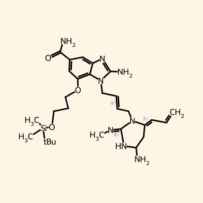 C=C/C=C1\CC(N)N/C(=N\C)N1C/C=C/Cn1c(N)nc2cc(C(N)=O)cc(OCCCO[Si](C)(C)C(C)(C)C)c21